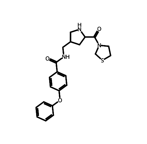 O=C(NCC1CNC(C(=O)N2CCSC2)C1)c1ccc(Oc2ccccc2)cc1